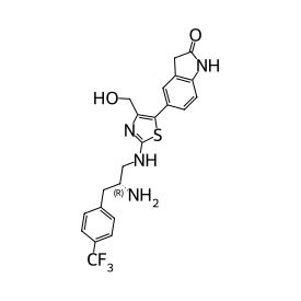 N[C@@H](CNc1nc(CO)c(-c2ccc3c(c2)CC(=O)N3)s1)Cc1ccc(C(F)(F)F)cc1